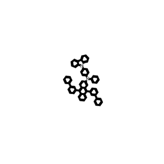 c1ccc(-c2cccc(-c3c4ccccc4c(-c4cccc(-c5ccccc5)c4)c4cc(N(c5ccccc5)c5ccc(-n6c7ccccc7c7ccccc76)cc5)ccc34)c2)cc1